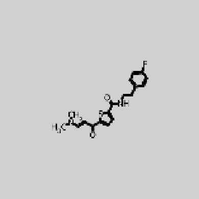 CN(C)C=CC(=O)c1ccc(C(=O)NCCc2ccc(F)cc2)s1